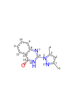 Cc1cc(C)n(-c2nc3ccccc3c(=O)[nH]2)n1